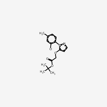 Cc1ccc(-n2nccc2OCC(=O)OC(C)(C)C)c(Cl)c1